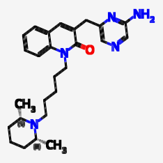 C[C@@H]1CCC[C@H](C)N1CCCCCn1c(=O)c(Cc2cncc(N)n2)cc2ccccc21